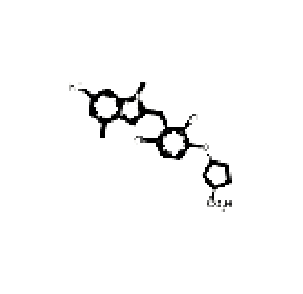 Cc1cc(C#N)cc2c1cc(Cc1c(Cl)ccc(O[C@@H]3CC[C@@H](C(=O)O)C3)c1Cl)n2C